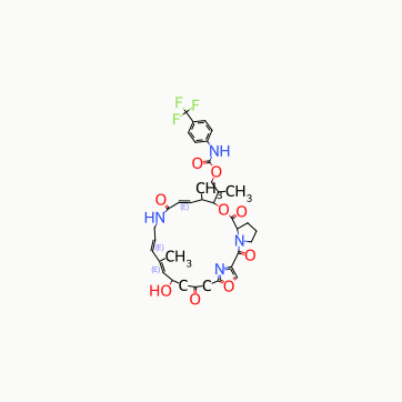 CC1=C\C(O)CC(=O)Cc2nc(co2)C(=O)N2CCCC2C(=O)OC(C(C)COC(=O)Nc2ccc(C(F)(F)F)cc2)C(C)/C=C/C(=O)NC\C=C\1